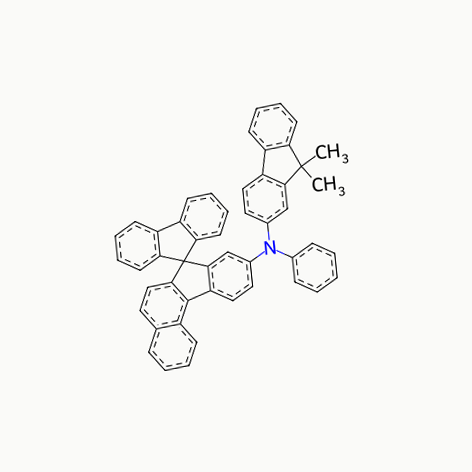 CC1(C)c2ccccc2-c2ccc(N(c3ccccc3)c3ccc4c(c3)C3(c5ccccc5-c5ccccc53)c3ccc5ccccc5c3-4)cc21